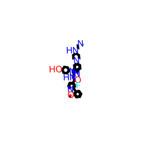 COc1ccccc1-c1nccc(C(=O)Nc2nc3ccc(N4CCC(NCCN(C)C)CC4)cc3n2[C@H]2CC[C@@H](O)CC2)c1F